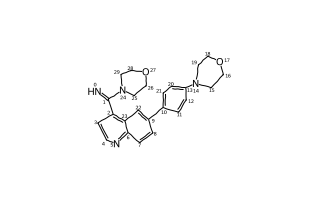 N=C(c1ccnc2ccc(-c3ccc(N4CCOCC4)cc3)cc12)N1CCOCC1